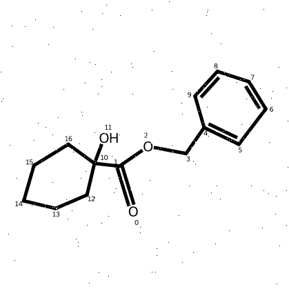 O=C(OCc1ccccc1)C1(O)CCCCC1